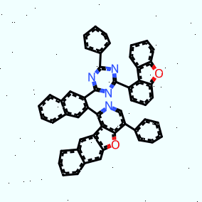 c1ccc(-c2nc(-c3cc4ccccc4cc3-c3ncc(-c4ccccc4)c4oc5cc6ccccc6cc5c34)nc(-c3cccc4oc5ccccc5c34)n2)cc1